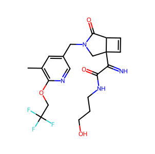 Cc1cc(CN2CC3(C(=N)C(=O)NCCCO)C=CC3C2=O)cnc1OCC(F)(F)F